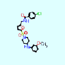 COc1cccc(NC2CCN(S(=O)(=O)c3ccc(CNC(=O)c4ccc(Cl)cc4)o3)CC2)c1